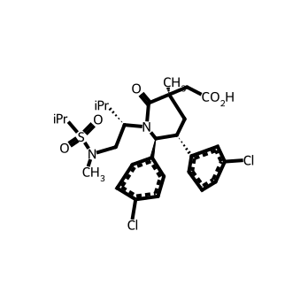 CC(C)[C@@H](CN(C)S(=O)(=O)C(C)C)N1C(=O)[C@@](C)(CC(=O)O)C[C@H](c2cccc(Cl)c2)[C@H]1c1ccc(Cl)cc1